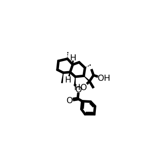 CC(O)C(C)(O)[C@H]1[C@@H](COC(=O)c2ccccc2)[C@H]2[C@@H](C[C@@H]1C)[C@@H](C)CC[C@@H]2C